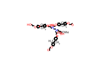 CO[SiH](O)CCCN(CCN(CC(O)COc1ccc(C(C)(C)c2ccc(OCCCO)cc2)cc1)C(O)COc1ccc(C(C)(C)c2ccc(OCC3CO3)cc2)cc1)CC(O)COc1ccc(C(C)(C)c2ccc(OCC3CO3)cc2)cc1